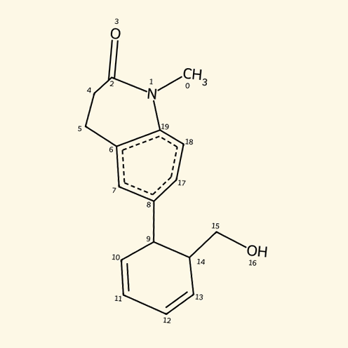 CN1C(=O)CCc2cc(C3C=CC=CC3CO)ccc21